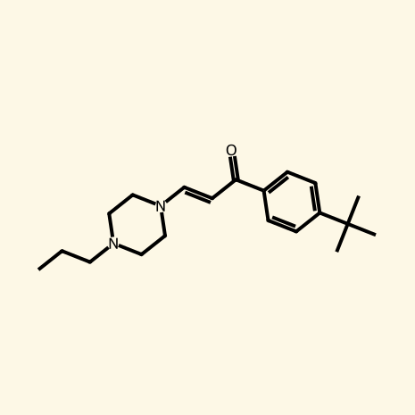 CCCN1CCN(C=CC(=O)c2ccc(C(C)(C)C)cc2)CC1